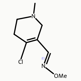 CO/N=C/C1=C(Cl)CCN(C)C1